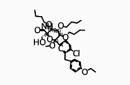 CCCCO[C@@H]1[C@@H](OCCCC)[C@](OC)(c2ccc(Cl)c(Cc3ccc(OCC)cc3)c2)O[C@@](CO)(C(N)=O)[C@H]1OCCCC